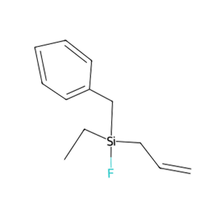 C=CC[Si](F)(CC)Cc1ccccc1